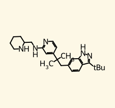 CC(C)(C)c1n[nH]c2cc(CC(C)(C)c3ccnc(NCC4CCCCN4)c3)ccc12